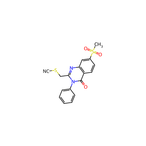 CS(=O)(=O)c1ccc2c(=O)n(-c3ccccc3)c(CSC#N)nc2c1